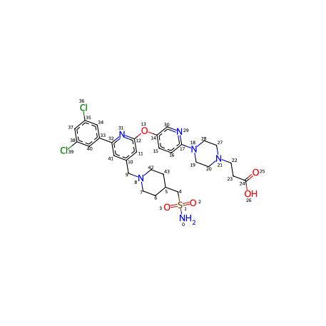 NS(=O)(=O)CC1CCN(Cc2cc(Oc3ccc(N4CCN(CCC(=O)O)CC4)nc3)nc(-c3cc(Cl)cc(Cl)c3)c2)CC1